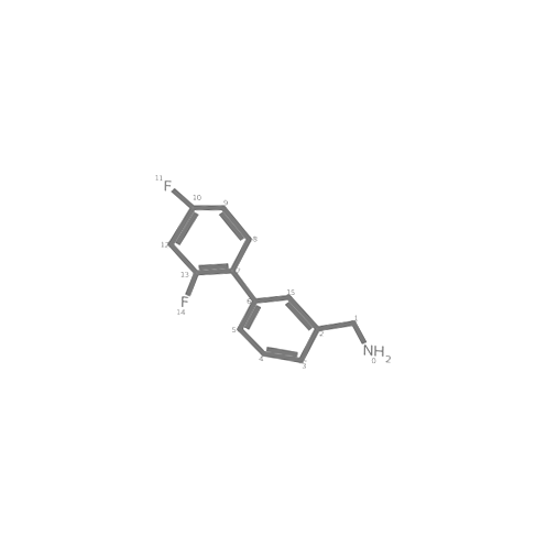 NCc1[c]ccc(-c2ccc(F)cc2F)c1